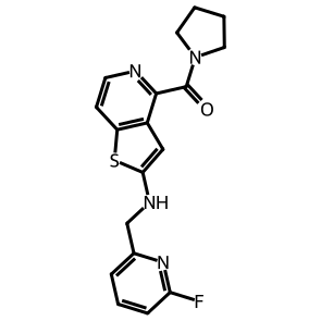 O=C(c1nccc2sc(NCc3cccc(F)n3)cc12)N1CCCC1